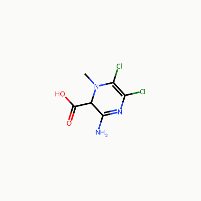 CN1C(Cl)=C(Cl)N=C(N)C1C(=O)O